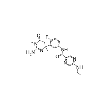 CCNc1cnc(C(=O)Nc2ccc(F)c(C3(C)CC(=O)N(C)C(N)=N3)c2)cn1